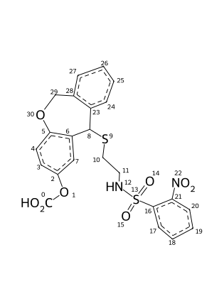 O=C(O)Oc1ccc2c(c1)C(SCCNS(=O)(=O)c1ccccc1[N+](=O)[O-])c1ccccc1CO2